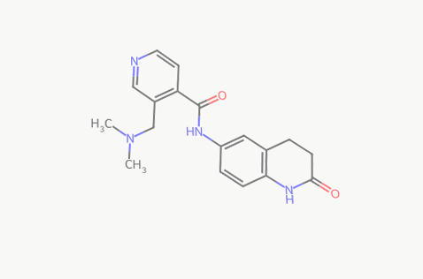 CN(C)Cc1cnccc1C(=O)Nc1ccc2c(c1)CCC(=O)N2